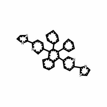 c1ccc(-c2c(-c3ccccc3)c(-c3ccc(-c4nccs4)nc3)c3ccccc3c2-c2ccc(-c3nccs3)nc2)cc1